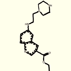 CCOC(=O)c1cnc2ccc(NCCN3CCNCC3)cc2c1